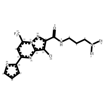 CCN(CC)CCCNC(=O)c1nn2c(C(F)(F)F)cc(-c3ccco3)nc2c1Cl